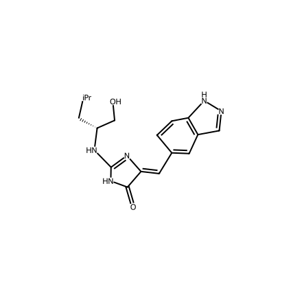 CC(C)C[C@H](CO)NC1=N/C(=C\c2ccc3[nH]ncc3c2)C(=O)N1